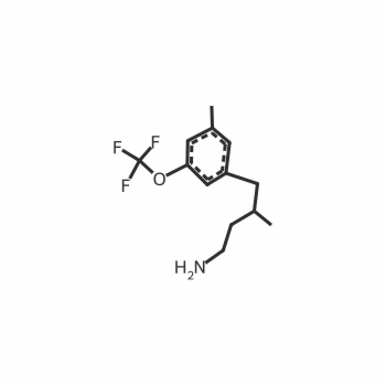 Cc1cc(CC(C)CCN)cc(OC(F)(F)F)c1